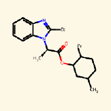 CCc1nc2ccccc2n1[C@H](C)C(=O)OC1CC(C)CCC1C(C)C